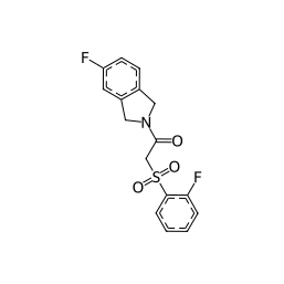 O=C(CS(=O)(=O)c1ccccc1F)N1Cc2ccc(F)cc2C1